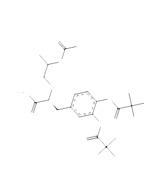 CCC(=O)OC(C)CN[C@@H](Cc1ccc(OC(=O)C(C)(C)CC)c(OC(=O)C(C)(C)CC)c1)C(=O)OC